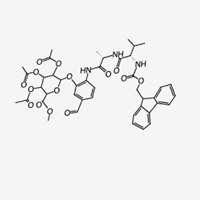 COC(=O)C1OC(Oc2cc(C=O)ccc2NC(=O)[C@H](C)NC(=O)[C@@H](NC(=O)OCC2c3ccccc3-c3ccccc32)C(C)C)C(OC(C)=O)C(OC(C)=O)C1OC(C)=O